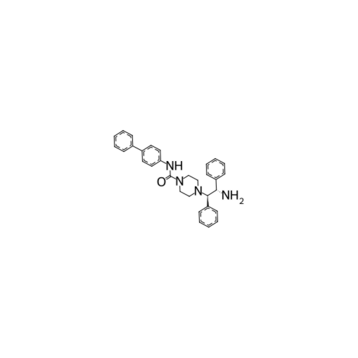 N[C@@H](c1ccccc1)[C@@H](c1ccccc1)N1CCN(C(=O)Nc2ccc(-c3ccccc3)cc2)CC1